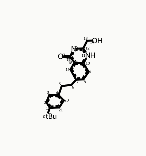 CC(C)(C)c1ccc(CCc2ccc3[nH]c(CO)nc(=O)c3c2)cc1